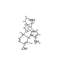 CC1=C(O)C=CC(C)(OCC23CCNC2C3)C1n1c(C)ccc1N